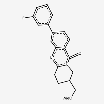 COCC1CCc2nc3cc(-c4cccc(F)c4)ccc3c(=O)n2C1